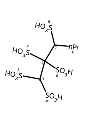 CCCC(C([C](S(=O)(=O)O)S(=O)(=O)O)(S(=O)(=O)O)S(=O)(=O)O)S(=O)(=O)O